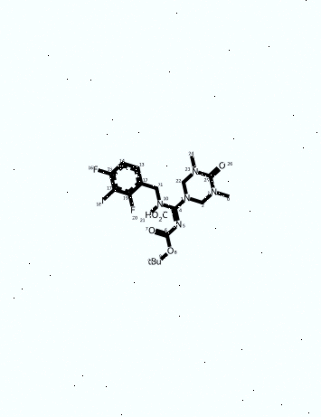 CN1CN(/C(=N/C(=O)OC(C)(C)C)N(Cc2ccc(F)c(I)c2F)C(=O)O)CN(C)C1=O